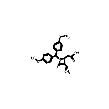 C=CC1C(=O)N(C(c2ccc(OC)cc2)c2ccc(OC)cc2)C1CC(=O)O